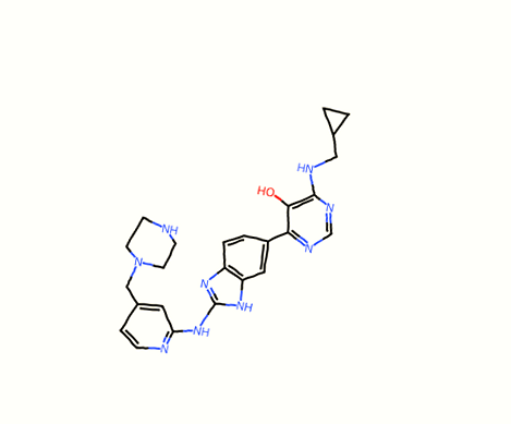 Oc1c(NCC2CC2)ncnc1-c1ccc2nc(Nc3cc(CN4CCNCC4)ccn3)[nH]c2c1